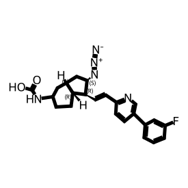 [N-]=[N+]=N[C@H]1C[C@H]2CC(NC(=O)O)CC[C@H]2[C@@H]1C=Cc1ccc(-c2cccc(F)c2)cn1